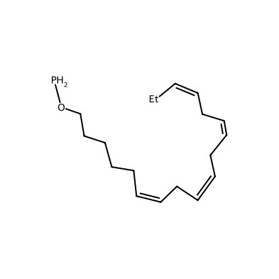 CC/C=C\C/C=C\C/C=C\C/C=C\CCCCCOP